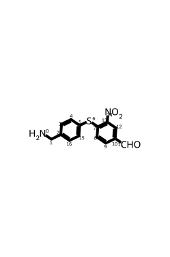 NCc1ccc(Sc2ccc(C=O)cc2[N+](=O)[O-])cc1